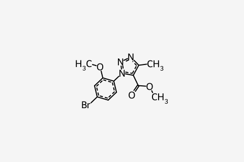 COC(=O)c1c(C)nnn1-c1ccc(Br)cc1OC